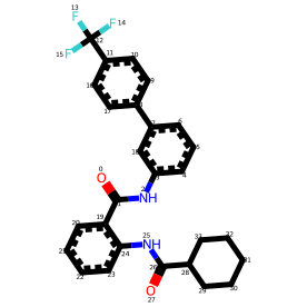 O=C(Nc1cccc(-c2ccc(C(F)(F)F)cc2)c1)c1ccccc1NC(=O)C1CCCCC1